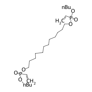 C=CP(=O)(OCCCC)OCCCCCCCCCCCCOP(=O)(C=C)OCCCC